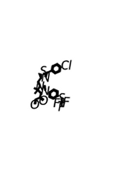 CC1(C)C(C(=O)C=O)N(c2ccc(SC(F)(F)F)cc2)CN1Cc1csc(-c2ccc(Cl)cc2)n1